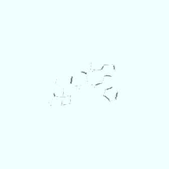 CC(C)CC(C(=O)NC1N=C(c2ccc(Cl)cc2)c2ccccc2N(C)C1=O)C1(C(N)=O)CCC1